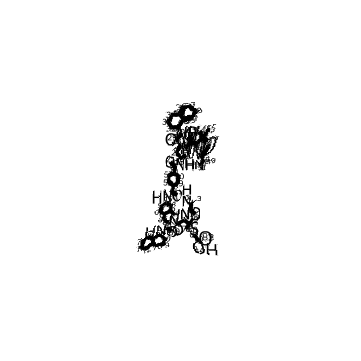 CN[C@@H](C)C(=O)NC(C(=O)N1Cc2cc(NC(=O)c3ccc(C(=O)N[C@H]4C[C@@H](C(=O)N[C@@H]5CCCc6ccccc65)N(C(=O)[C@@H](NC(=O)[C@H](C)NC)C(C)(C)C)C4)cc3)ccc2C[C@H]1C(=O)N[C@@H]1CCCc2ccccc21)C(C)(C)SCC(=O)O